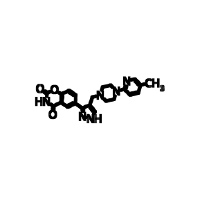 Cc1ccc(N2CCN(Cc3c[nH]nc3-c3ccc4oc(=O)[nH]c(=O)c4c3)CC2)nc1